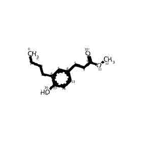 CCCCc1cc(CCC(=O)OC)ccc1O